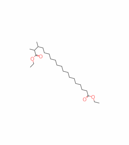 CCOC(=O)CCCCCCCCCCCCCCCC(C)C(C)C(=O)OCC